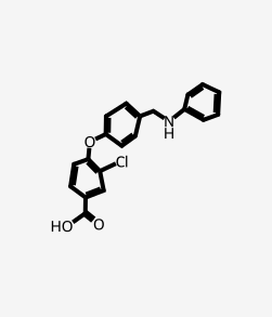 O=C(O)c1ccc(Oc2ccc(CNc3ccccc3)cc2)c(Cl)c1